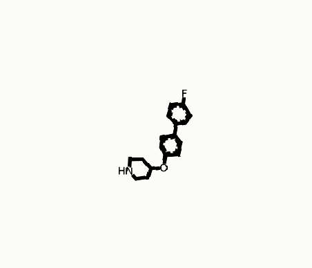 Fc1ccc(-c2ccc(OC3CCNCC3)cc2)cc1